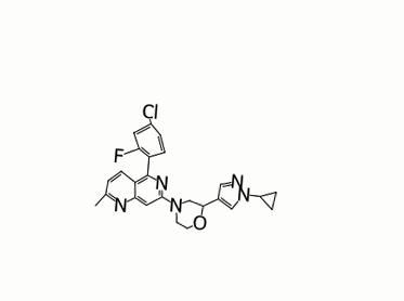 Cc1ccc2c(-c3ccc(Cl)cc3F)nc(N3CCOC(c4cnn(C5CC5)c4)C3)cc2n1